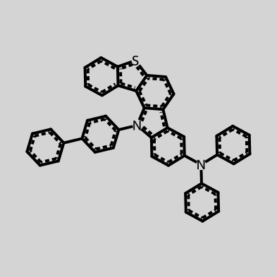 c1ccc(-c2ccc(-n3c4ccc(N(c5ccccc5)c5ccccc5)cc4c4ccc5sc6ccccc6c5c43)cc2)cc1